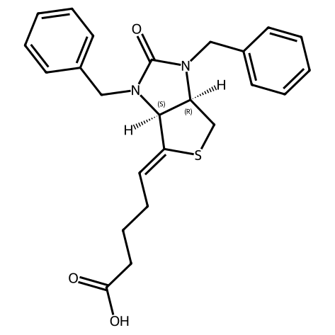 O=C(O)CCCC=C1SC[C@H]2[C@@H]1N(Cc1ccccc1)C(=O)N2Cc1ccccc1